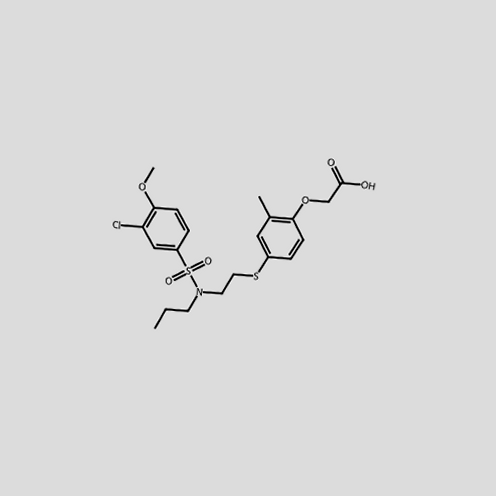 CCCN(CCSc1ccc(OCC(=O)O)c(C)c1)S(=O)(=O)c1ccc(OC)c(Cl)c1